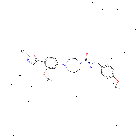 COc1ccc(CNC(=O)N2CCCN(c3ccc(-c4cnc(C)o4)c(OC)c3)CC2)cc1